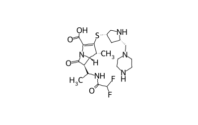 CC(NC(=O)C(F)F)[C@H]1C(=O)N2C(C(=O)O)=C(S[C@@H]3CN[C@H](CN4CCNCC4)C3)[C@H](C)[C@H]12